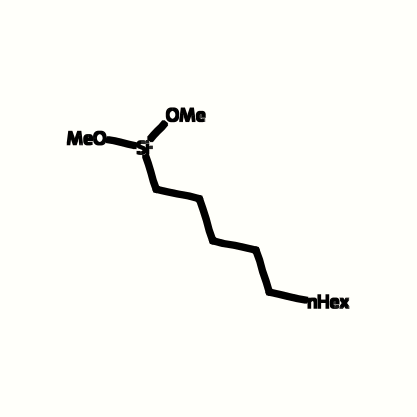 CCCCCCCCCCC[Si](OC)OC